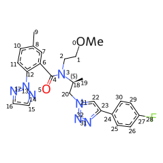 COCCN(C(=O)c1cc(C)ccc1-n1nccn1)[C@@H](C)Cn1cc(-c2ccc(F)cc2)nn1